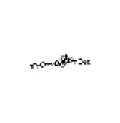 CCCCCCCCCCCCOc1ccc(C(=O)Oc2ccc(CC/C=C/C3CCC(CCC)CC3)cc2)c(F)c1F